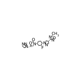 Cc1nc(-c2cnn(-c3ccc(N4C[C@H](Cn5ccnn5)OC4=O)cc3F)c2)no1